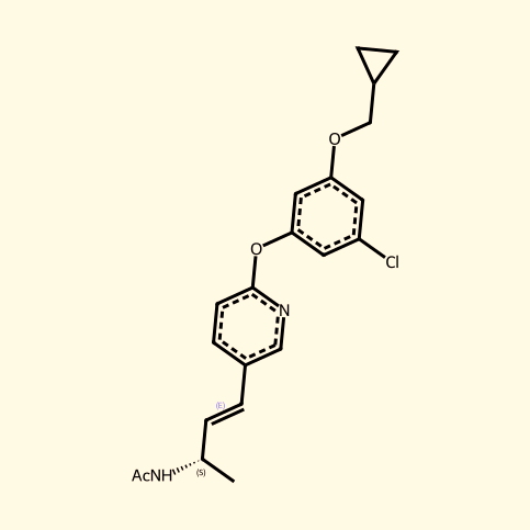 CC(=O)N[C@@H](C)/C=C/c1ccc(Oc2cc(Cl)cc(OCC3CC3)c2)nc1